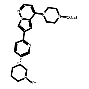 CCOC(=O)N1CCN(c2ccnn3cc(-c4ccc([C@H]5CCCN(C(C)C)C5)cn4)cc23)CC1